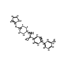 O=C(NC1CCN(Cc2nccs2)CC1)c1ccc(-c2cccc(F)c2)nc1